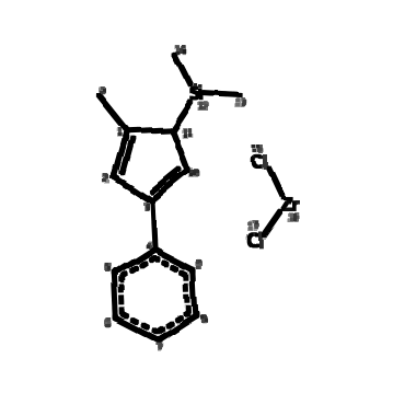 CC1=CC(c2ccccc2)=CC1[Si](C)C.[Cl][Zr][Cl]